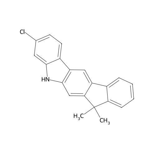 CC1(C)c2ccccc2-c2cc3c(cc21)[nH]c1cc(Cl)ccc13